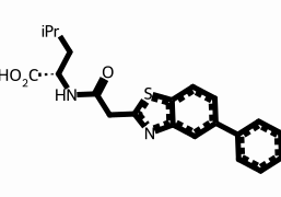 CC(C)C[C@H](NC(=O)Cc1nc2cc(-c3ccccc3)ccc2s1)C(=O)O